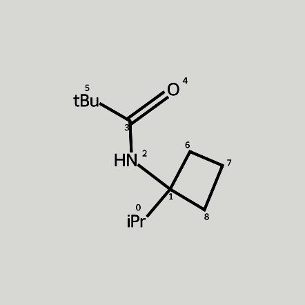 CC(C)C1(NC(=O)C(C)(C)C)CCC1